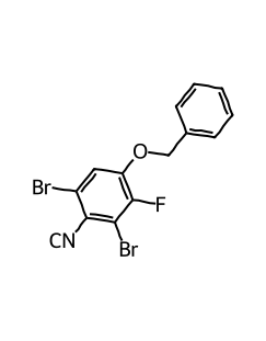 [C-]#[N+]c1c(Br)cc(OCc2ccccc2)c(F)c1Br